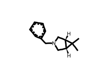 CC1(C)[C@@H]2CN(Cc3ccccc3)C[C@@H]21